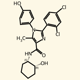 Cc1c(C(=O)N[C@H]2CCCC[C@H]2O)nc(-c2ccc(Cl)cc2Cl)n1-c1ccc(O)cc1